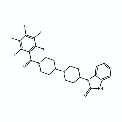 O=C(c1c(F)c(F)c(F)c(F)c1F)N1CCC(N2CCC(n3c(=O)[nH]c4ccccc43)CC2)CC1